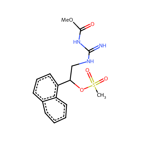 COC(=O)NC(=N)NCC(OS(C)(=O)=O)c1cccc2ccccc12